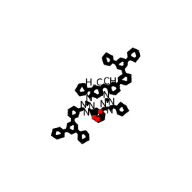 CC1(C)c2cc(-c3cccc(-c4cc(-c5ccccc5)cc(C5C=CC=CC5)c4)c3)ccc2N(c2nc(-c3ccccc3)nc(-c3ccccc3)n2)c2cc3c(cc21)c1ccccc1n3-c1nc(-c2ccccc2)nc(-c2cccc(-c3cc(-c4ccccc4)cc(-c4ccccc4)c3)c2)n1